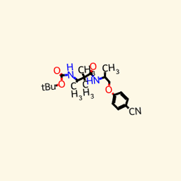 CC(COc1ccc(C#N)cc1)NC(=O)C(C)(C)C(C)NC(=O)OC(C)(C)C